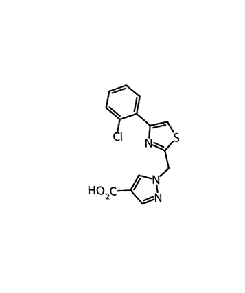 O=C(O)c1cnn(Cc2nc(-c3ccccc3Cl)cs2)c1